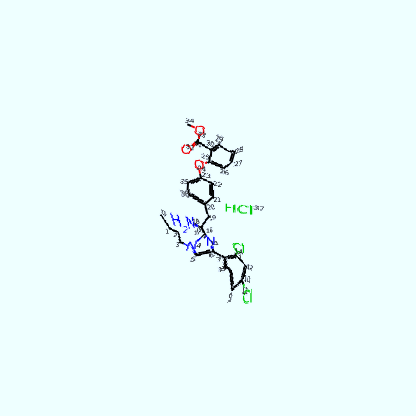 CCCCn1cc(-c2ccc(Cl)cc2Cl)nc1[C@@H](N)Cc1ccc(Oc2ccccc2C(=O)OC)cc1.Cl